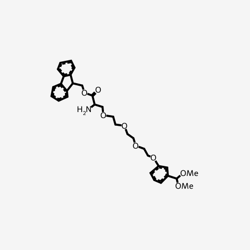 COC(OC)c1cccc(OCCOCCOCCOCC(N)C(=O)OCC2c3ccccc3-c3ccccc32)c1